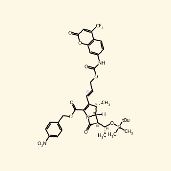 C[C@@H](O[Si](C)(C)C(C)(C)C)[C@H]1C(=O)N2C(C(=O)OCc3ccc([N+](=O)[O-])cc3)=C(/C=C/COC(=O)Nc3ccc4c(C(F)(F)F)cc(=O)oc4c3)[C@H](C)[C@H]12